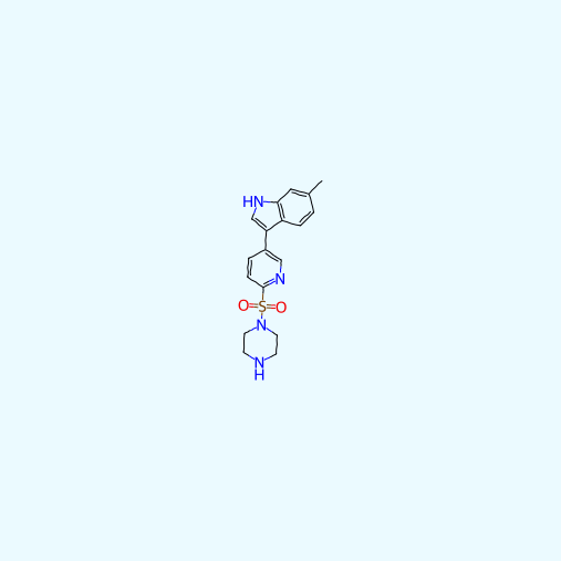 Cc1ccc2c(-c3ccc(S(=O)(=O)N4CCNCC4)nc3)c[nH]c2c1